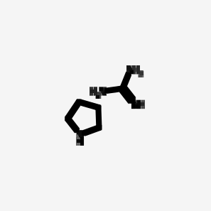 C1CCNC1.N=C(N)N